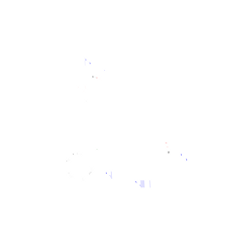 CN(CC(N)CCC(N)=O)c1cccc(CCCCOC(N)=O)c1F